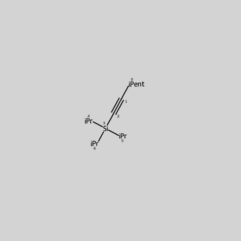 CCCC(C)C#C[Si](C(C)C)(C(C)C)C(C)C